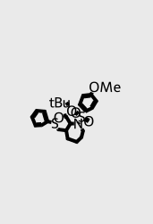 COc1ccc(S(=O)(=O)N2CCCCC(CSc3ccccc3)C2C(=O)OC(C)(C)C)cc1